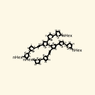 CCCCCCc1ccc(-c2ccc(C#Cc3cc(-c4ccc(-c5ccc(CCCCCC)s5)s4)c(-c4sc(-c5ccc(-c6ccc(CCCCCC)s6)s5)cc4C#Cc4ccc(-c5ccc(CCCCCC)s5)s4)s3)s2)s1